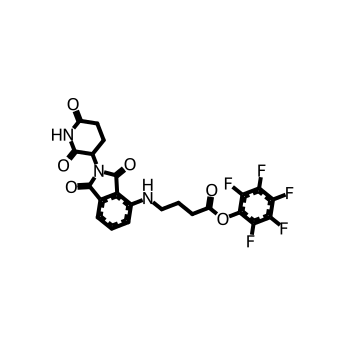 O=C1CCC(N2C(=O)c3cccc(NCCCC(=O)Oc4c(F)c(F)c(F)c(F)c4F)c3C2=O)C(=O)N1